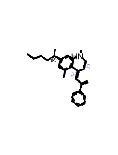 C=C(/C=C(\C=C/NC)c1c(C)cc([C@H](C)CCCC)cc1C)c1ccccc1